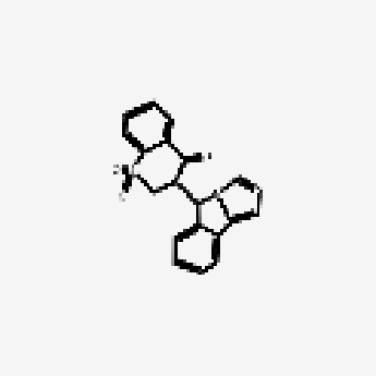 O=C1c2ccccc2S(=O)(=O)CC1C1c2ccccc2-c2cncn21